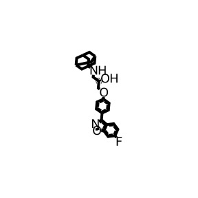 O[C@H](CNC12CC3CC(CC(C3)C1)C2)COc1ccc(-c2noc3cc(F)ccc23)cc1